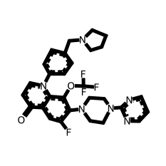 O=c1ccn(-c2ccc(CN3CCCC3)cc2)c2c(OC(F)(F)F)c(N3CCN(c4ncccn4)CC3)c(F)cc12